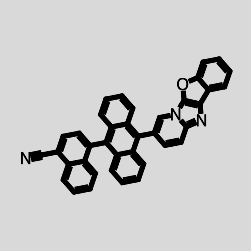 N#Cc1ccc(-c2c3ccccc3c(-c3ccc4nc5c6ccccc6oc5n4c3)c3ccccc23)c2ccccc12